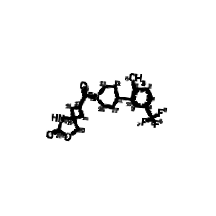 Cc1ccc(C(F)(F)F)cc1C1CCN(C(=O)C2CC3(COC(=O)N3)C2)CC1